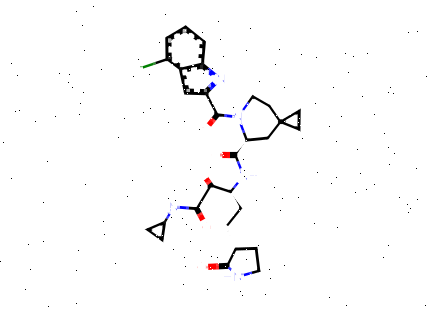 O=C(NC1CC1)C(=O)[C@H](CC[C@@H]1CCNC1=O)NC(=O)[C@@H]1CC2(CCN1C(=O)c1cc3c(Cl)cccc3[nH]1)CC2